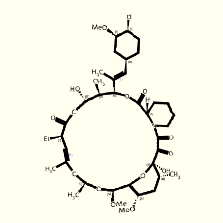 CC[C@@H]1/C=C(\C)C[C@H](C)C[C@H](OC)C2O[C@@](O)(C(=O)C(=O)N3CCCC[C@H]3C(=O)O[C@H](/C(C)=C/[C@@H]3CC[C@H](Cl)[C@H](OC)C3)[C@H](C)[C@@H](O)CC1=O)[C@H](C)C[C@@H]2OC